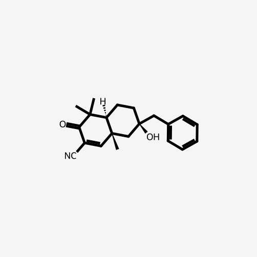 CC1(C)C(=O)C(C#N)=C[C@@]2(C)C[C@@](O)(Cc3ccccc3)CC[C@H]12